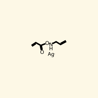 C=CCNOC(=O)C=C.[Ag]